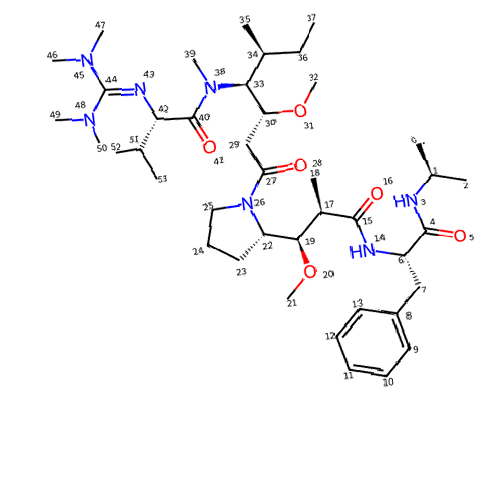 [CH2][C@@H](C)NC(=O)[C@H](Cc1ccccc1)NC(=O)[C@H](C)[C@@H](OC)[C@@H]1CCCN1C(=O)C[C@@H](OC)[C@H]([C@@H](C)CC)N(C)C(=O)[C@@H](N=C(N(C)C)N(C)C)C(C)C